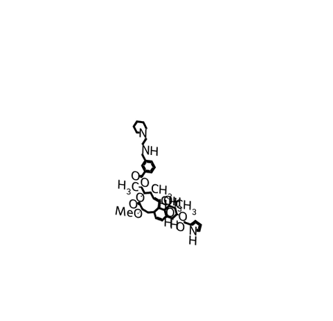 CO[C@H]1CC2C=C[C@H]3[C@H]4O[C@]2(/C(C)=C/[C@@H](C)[C@@H]([C@@H](C)OC(=O)c2cccc(CNCCN5CCCCC5)c2)OC1=O)[C@@H]3[C@H](O)[C@@H](C)[C@H]4OC(=O)c1ccc[nH]1